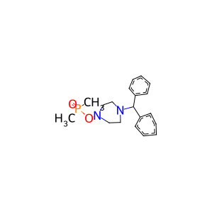 CP(C)(=O)ON1CCN(C(c2ccccc2)c2ccccc2)CC1